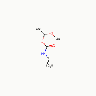 CCCC(OC(=O)NCC(=O)O)OC(C)(C)C